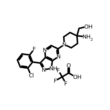 NC1(CO)CCN(c2cnc3c(-c4c(F)cccc4Cl)n[nH]c3n2)CC1.O=C(O)C(F)(F)F